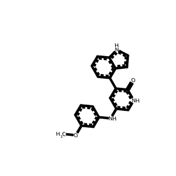 COc1cccc(Nc2c[nH]c(=O)c(-c3cccc4[nH]ccc34)c2)c1